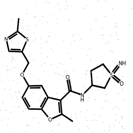 Cc1ncc(COc2ccc3oc(C)c(C(=O)NC4CCS(=N)(=O)C4)c3c2)s1